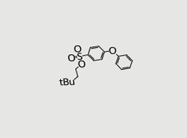 CC(C)(C)CCOS(=O)(=O)c1ccc(Oc2ccccc2)cc1